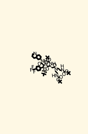 CC(C)(C)OC(=O)NCCN(CCNC(=O)OC(C)(C)C)C(=O)C[C@H](NC(=O)OC(C)(C)C)C(=O)N[C@H](C(=O)Nc1ccc2ncccc2c1)[C@H](O[Si](C)(C)C(C)(C)C)c1ccc(C(F)(F)F)cc1